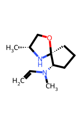 C=CN(C)[C@H]1CCC[C@@]12N[C@H](C)CO2